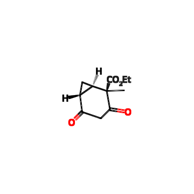 CCOC(=O)[C@@]1(C)C(=O)CC(=O)[C@@H]2C[C@H]21